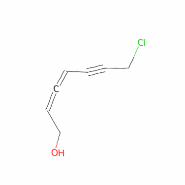 OCC=C=CC#CCCl